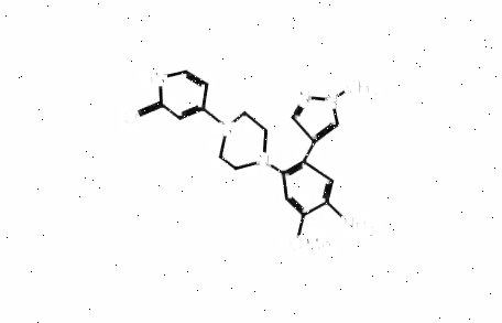 COc1cc(N2CCN(c3cc[nH]c(=O)c3)CC2)c(-c2cnn(C)c2)cc1N